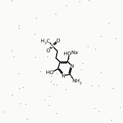 CS(=O)(=O)CCc1c(O)nc(N)nc1O.[Na]